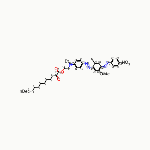 CCCCCCCCCCCCCCCCCCC(=O)C(=O)OCCN(CC)c1ccc(/N=N/c2cc(OC)c(/N=N/c3ccc([N+](=O)[O-])cc3)cc2C)cc1